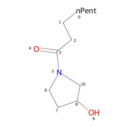 CCCCCCCC(=O)N1CCC(O)C1